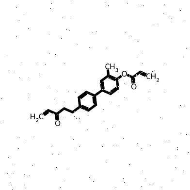 C=CC(=O)CCc1ccc(-c2ccc(OC(=O)C=C)c(C)c2)cc1